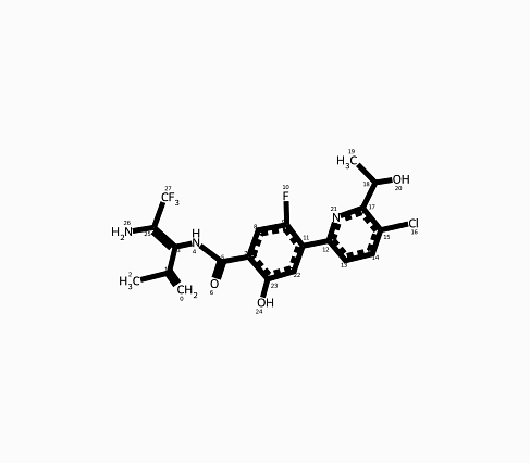 C=C(C)/C(NC(=O)c1cc(F)c(-c2ccc(Cl)c(C(C)O)n2)cc1O)=C(\N)C(F)(F)F